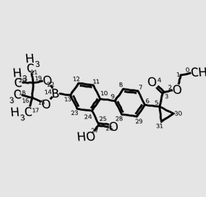 CCOC(=O)C1(c2ccc(-c3ccc(B4OC(C)(C)C(C)(C)O4)cc3C(=O)O)cc2)CC1